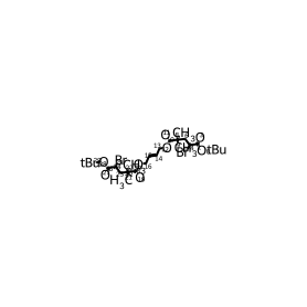 CC(C)(C)OC(=O)C(Br)CC(C)(C)C(=O)OC/C=C/COC(=O)C(C)(C)CC(Br)C(=O)OC(C)(C)C